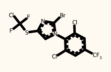 FC(F)(Cl)Sc1cn(-c2c(Cl)cc(C(F)(F)F)cc2Cl)c(Br)n1